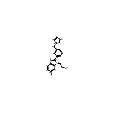 OCCn1c(-c2cncc(Cn3ccnc3)c2)nc2ccc(F)cc21